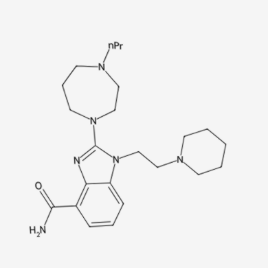 CCCN1CCCN(c2nc3c(C(N)=O)cccc3n2CCN2CCCCC2)CC1